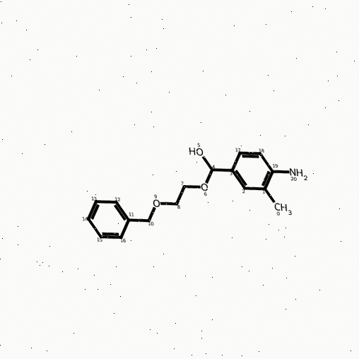 Cc1cc(C(O)OCCOCc2ccccc2)ccc1N